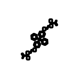 C=C(C)C(=O)OCCOc1ccc(C(c2ccccc2)(c2ccccc2)c2ccc(OCCOC(=O)C(=C)C)cc2)cc1